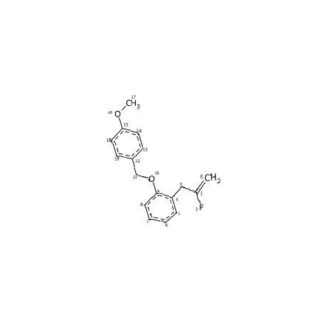 C=C(F)Cc1ccccc1OCc1ccc(OC)cc1